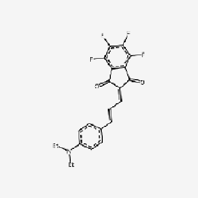 CCN(CC)c1ccc(C=CC=C2C(=O)c3c(F)c(F)c(F)c(F)c3C2=O)cc1